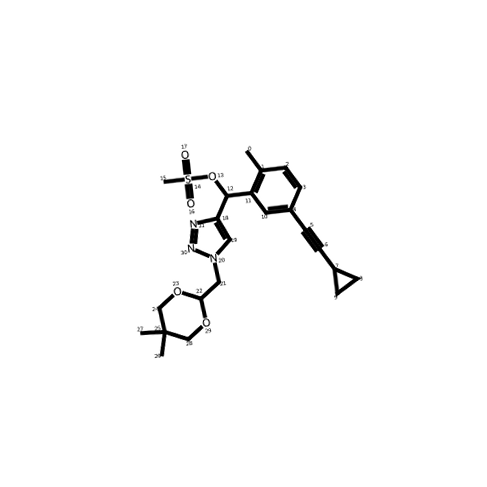 Cc1ccc(C#CC2CC2)cc1C(OS(C)(=O)=O)c1cn(CC2OCC(C)(C)CO2)nn1